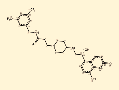 O=C(CCN1CCC(NC[C@H](O)c2ccc(O)c3[nH]c(=O)ccc23)CC1)NCc1cc(C(F)(F)F)cc(C(F)(F)F)c1